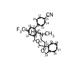 CN(C)CCC1(COCc2cc(-c3ccc(C#N)cc3)cc(C(F)(F)F)c2)OCc2ccccc21